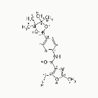 Cc1nc(C(=O)Nc2ccc(B3OC(C)(C)C(C)(C)O3)cc2)c(CF)o1